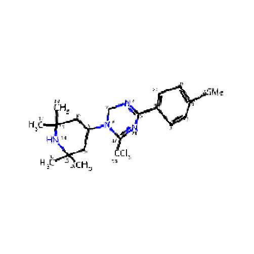 CSc1ccc(C2=NCN(C3CC(C)(C)NC(C)(C)C3)C(C(Cl)(Cl)Cl)=N2)cc1